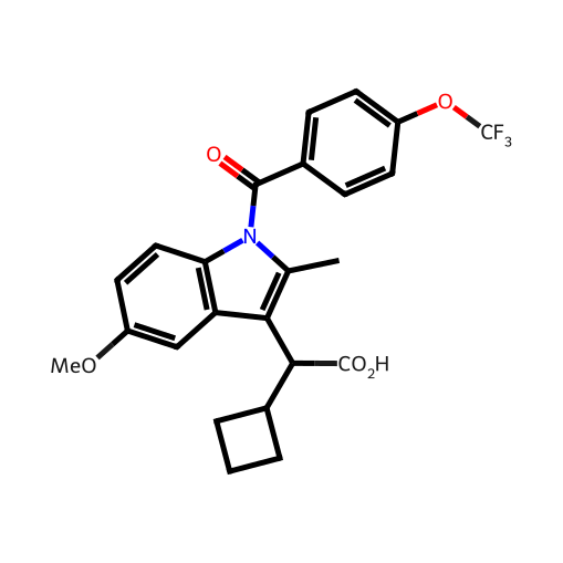 COc1ccc2c(c1)c(C(C(=O)O)C1CCC1)c(C)n2C(=O)c1ccc(OC(F)(F)F)cc1